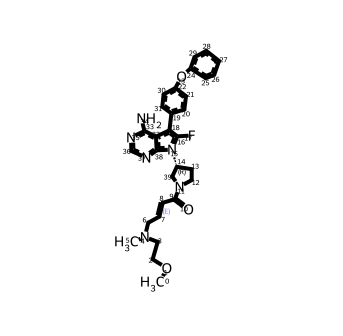 COCCN(C)C/C=C/C(=O)N1CC[C@@H](n2c(F)c(-c3ccc(Oc4ccccc4)cc3)c3c(N)ncnc32)C1